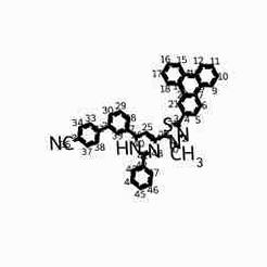 CN1N=C(c2ccc3c4ccccc4c4ccccc4c3c2)SC1C1=CC(c2cccc(-c3ccc(C#N)cc3)c2)NC(c2ccccc2)=N1